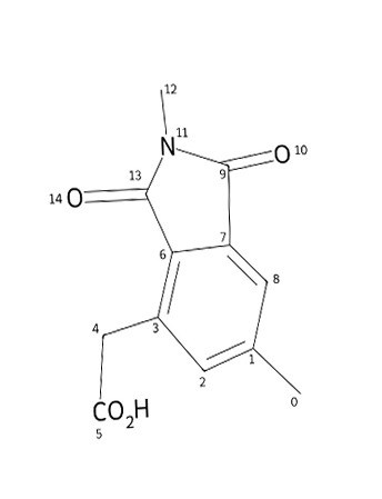 Cc1cc(CC(=O)O)c2c(c1)C(=O)N(C)C2=O